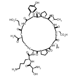 CC(C)C[C@@H]1NC(=O)[C@@H]2CCCN2C(=O)[C@@H](NC(=O)[C@H](CCCCN)NC(=O)[C@@H](N)CO)CSSC[C@@H](C(N)=O)CC(=O)[C@H](CCC(=O)O)NC(=O)[C@H](Cc2ccc(O)cc2)NC(=O)[C@@H]2CCCN2C(=O)[C@H](C(C)O)NC(=O)[C@H](CC(=O)O)NC1=O